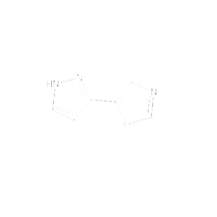 [c]1ncc(-c2cc[nH]n2)o1